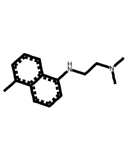 Cc1cccc2c(NCCN(C)C)cccc12